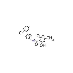 Cc1cc(O)c(C(=O)/C=C/c2ccc(-c3ccccc3Cl)o2)c(=O)o1